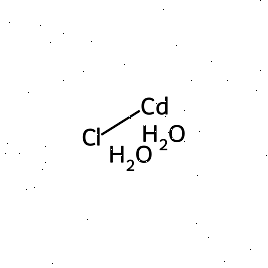 O.O.[Cl][Cd]